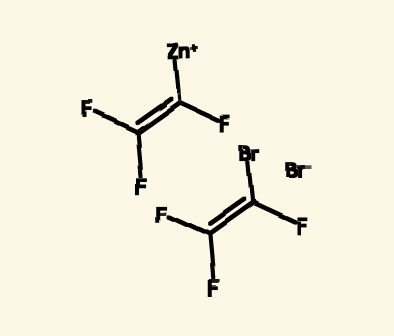 FC(F)=C(F)Br.FC(F)=[C](F)[Zn+].[Br-]